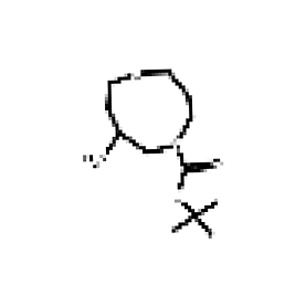 CC(C)(C)OC(=O)N1CCCCCCC(N)C1